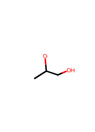 CC([O])[CH]O